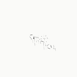 CS(=O)(=O)c1nc(Nc2ccc(C(F)(F)F)cc2)c2nc(Nc3c(Cl)cccc3Cl)[nH]c2n1